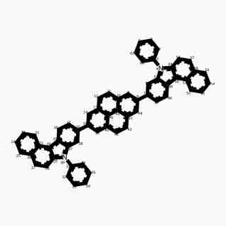 c1ccc(-n2c3cc(-c4cc5ccc6cc(-c7ccc8c9c%10ccccc%10ccc9n(-c9ccccc9)c8c7)cc7ccc(c4)c5c67)ccc3c3c4ccccc4ccc32)cc1